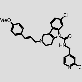 COc1ccc(/C=C/CN2CCc3c(c4ccc(Cl)cc4n3C(=O)NCc3ccnc(Cl)c3)C2)cc1